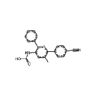 Cc1cc(NC(=O)O)c(-c2ccccc2)nc1-c1ccc(C#N)cc1